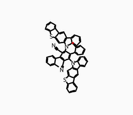 Cc1ccccc1-c1c(C#N)c(-n2c3ccccc3c3cc4c(cc32)sc2ccccc24)c(-c2ccccc2C)c(-n2c3ccccc3c3cc4c(cc32)sc2ccccc24)c1C#N